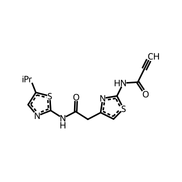 C#CC(=O)Nc1nc(CC(=O)Nc2ncc(C(C)C)s2)cs1